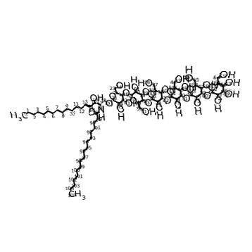 CCCCCCCCCCCCC/C=C/[C@@H](O)[C@H](CO[C@@H]1OC(CO)[C@@H](O[C@@H]2OC(CO)[C@H](O[C@@H]3OC(CO)[C@H](O)[C@H](O[C@H]4OC(CO)[C@H](O)[C@H](O[C@H]5OC(CO)[C@H](O)[C@H](O[C@H]6OC(CO)[C@H](O)[C@H](O)C6O)C5O)C4O)C3O)[C@H](O)C2O)[C@H](O)C1O)NC(=O)CCCCCCCCCCCCCCCCC